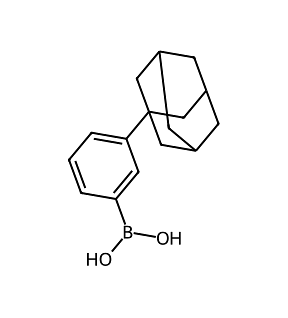 OB(O)c1cccc(C23CC4CC(CC(C4)C2)C3)c1